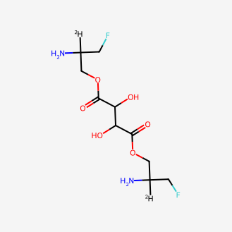 [2H]C(N)(CF)COC(=O)C(O)C(O)C(=O)OCC([2H])(N)CF